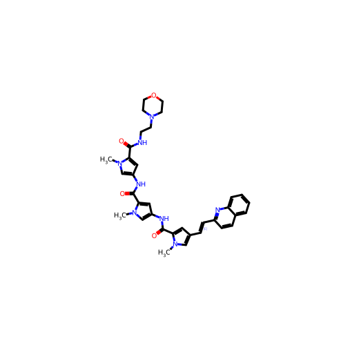 Cn1cc(NC(=O)c2cc(NC(=O)c3cc(/C=C/c4ccc5ccccc5n4)cn3C)cn2C)cc1C(=O)NCCN1CCOCC1